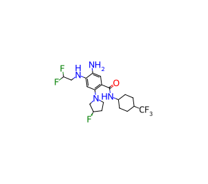 Nc1cc(C(=O)NC2CCC(C(F)(F)F)CC2)c(N2CC[C@@H](F)C2)cc1NCC(F)F